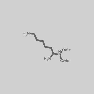 CO[SiH](OC)C(N)CCCCCN